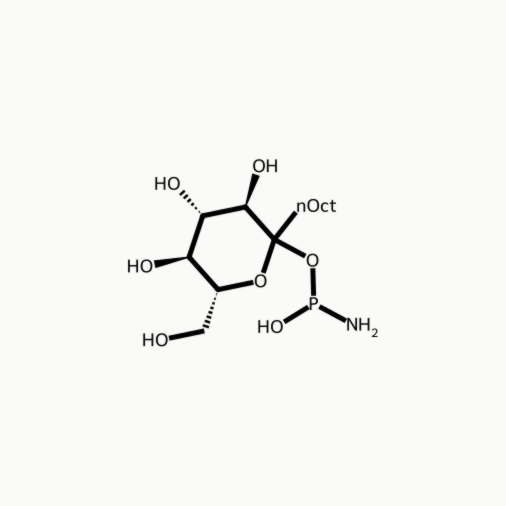 CCCCCCCCC1(OP(N)O)O[C@H](CO)[C@@H](O)[C@H](O)[C@H]1O